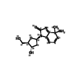 CC1(N)N=CN=C2C1=NC(=O)N2[C@H]1C[C@H](O)[C@@H](CO)O1